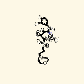 NC(c1nonc1/C(=N\O)Nc1ccc(F)c(Cl)c1)S(=O)(=O)CCCN1CCOCC1